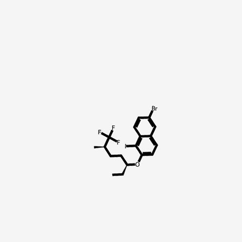 CC[C@@H](CC[C@@H](C)C(F)(F)F)Oc1ccc2cc(Br)ccc2c1I